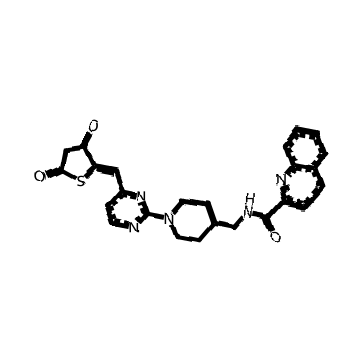 O=C1CC(=O)/C(=C/c2ccnc(N3CCC(CNC(=O)c4ccc5ccccc5n4)CC3)n2)S1